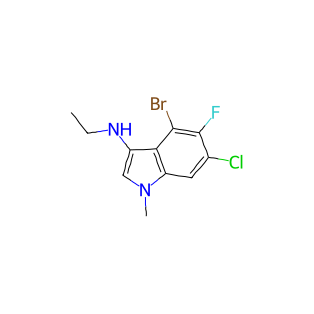 CCNc1cn(C)c2cc(Cl)c(F)c(Br)c12